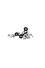 COc1cccc(-c2cccc([C@@]3(C)NC(=N)N(C)C(=O)[C@@H]3Cc3ccccc3)c2)c1